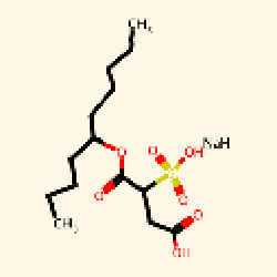 CCCCCC(CCCC)OC(=O)C(CC(=O)O)S(=O)(=O)O.[NaH]